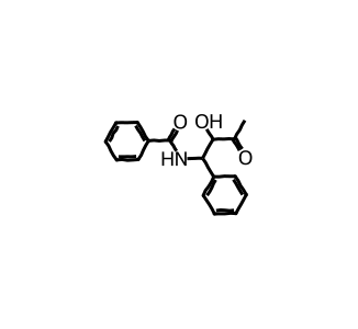 CC(=O)C(O)C(NC(=O)c1ccccc1)c1ccccc1